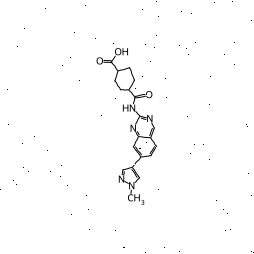 Cn1cc(-c2ccc3cnc(NC(=O)C4CCC(C(=O)O)CC4)nc3c2)cn1